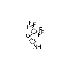 CNc1ccc(C(=O)c2cc(C(F)(F)F)cc(C(F)(F)F)c2)cc1C